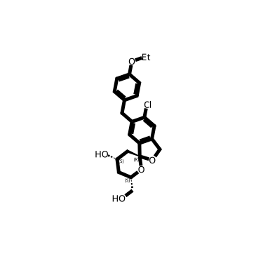 CCOc1ccc(Cc2cc3c(cc2Cl)CO[C@@]32C[C@@H](O)C[C@@H](CO)O2)cc1